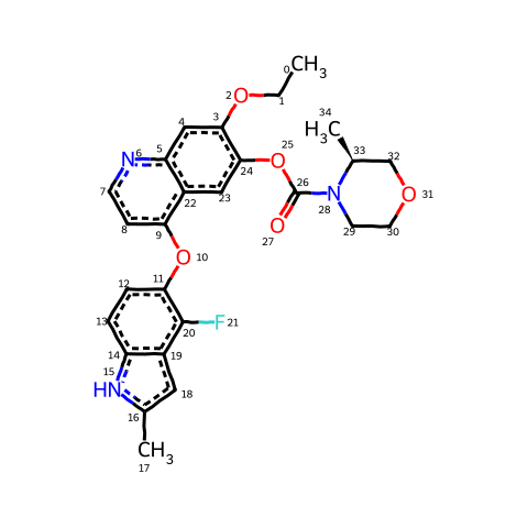 CCOc1cc2nccc(Oc3ccc4[nH]c(C)cc4c3F)c2cc1OC(=O)N1CCOC[C@@H]1C